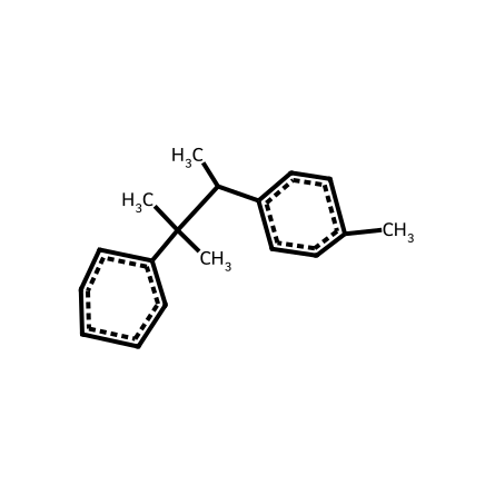 Cc1ccc(C(C)C(C)(C)c2ccccc2)cc1